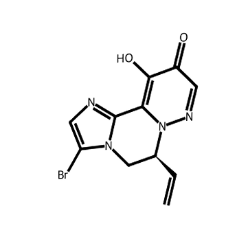 C=C[C@H]1Cn2c(Br)cnc2-c2c(O)c(=O)cnn21